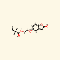 CCC(C)(C)C(=O)OCCOc1ccc2c(c1)CC(=O)O2